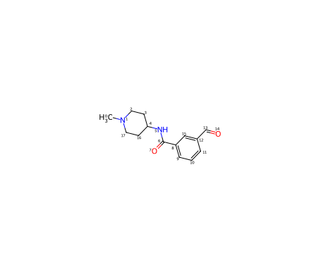 CN1CCC(NC(=O)c2cccc(C=O)c2)CC1